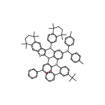 Cc1ccc(N(c2ccc(C)cc2)c2cc3c4c(c2)N(c2ccc5c(c2)C(C)(C)CCC5(C)C)c2c(sc5cc6c(cc25)C(C)(C)CCC6(C)C)B4c2cc(-c4ccccc4)ccc2N3c2ccc(C(C)(C)C)cc2-c2ccccc2)cc1